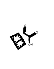 O=CC(=O)O.c1cc2ccc1-2